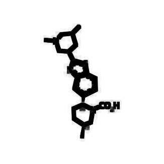 CC1CC(c2nc3cc([C@H]4CC[C@H](C)CN4C(=O)O)ccc3s2)CN(C)C1